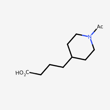 CC(=O)N1CCC(CCCC(=O)O)CC1